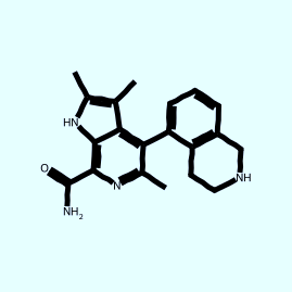 Cc1nc(C(N)=O)c2[nH]c(C)c(C)c2c1-c1cccc2c1CCNC2